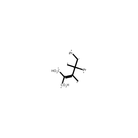 CC(=C(C(=O)O)C(=O)O)C(C)(CC(C)C)C(C)C